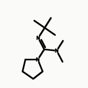 CN(C)C(=NC(C)(C)C)N1CCCC1